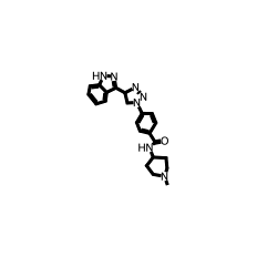 CN1CCC(NC(=O)c2ccc(N3CC(c4n[nH]c5ccccc45)N=N3)cc2)CC1